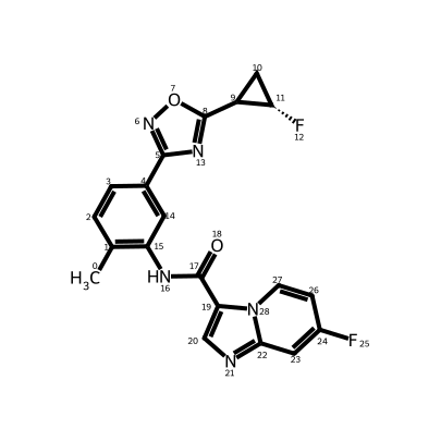 Cc1ccc(-c2noc(C3C[C@@H]3F)n2)cc1NC(=O)c1cnc2cc(F)ccn12